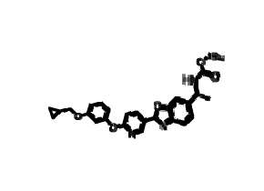 C[C@H](NC(=O)OC(C)(C)C)c1ccc2nc(-c3ccc(Oc4cccc(OCC5CC5)c4)nc3)oc2c1